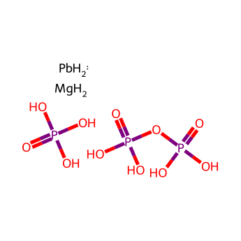 O=P(O)(O)O.O=P(O)(O)OP(=O)(O)O.[MgH2].[PbH2]